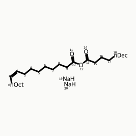 CCCCCCCC/C=C\CCCCCCCC(=O)OC(=O)CCCCCCCCCCCCC.[NaH].[NaH]